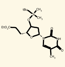 CCOC(=O)CC[C@H]1O[C@@H](n2cc(C)c(=O)[nH]c2=O)CC1O[Si](C)(C)C(C)(C)C